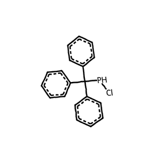 ClPC(c1ccccc1)(c1ccccc1)c1ccccc1